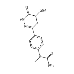 COC1CC(c2ccc(N(C)C(N)=S)cc2)=NNC1=O